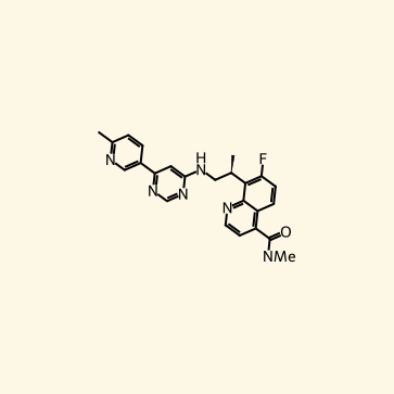 CNC(=O)c1ccnc2c([C@H](C)CNc3cc(-c4ccc(C)nc4)ncn3)c(F)ccc12